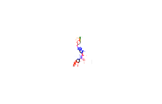 CCS(=O)(=O)c1ccc([C@H](COC)NC(=O)c2cnc3c(c2)CN(C[C@@H]2CCC(C(F)(F)F)OC2)C3)cc1